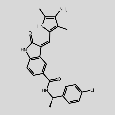 Cc1[nH]c(/C=C2\C(=O)Nc3ccc(C(=O)N[C@H](C)c4ccc(Cl)cc4)cc32)c(C)c1N